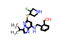 CC(C)c1cnc2c(NCc3ccccc3CO)cc(SC3CCNCC3F)nn12